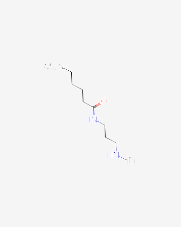 CNCCCCC(=O)NCCCNC(C)C